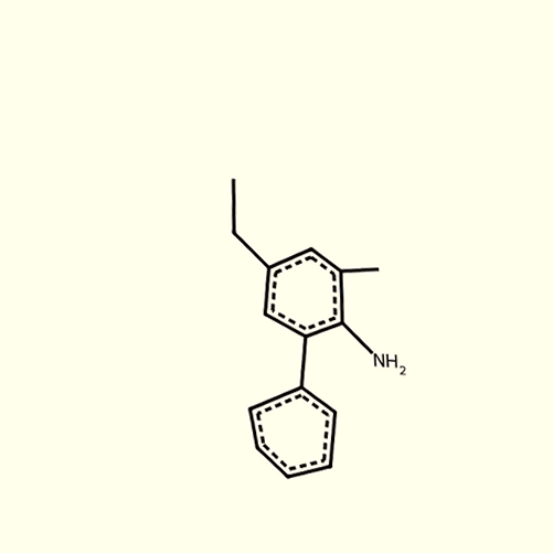 CCc1cc(C)c(N)c(-c2ccccc2)c1